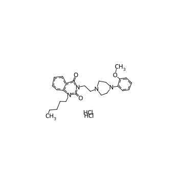 CCCCCn1c(=O)n(CCN2CCN(c3ccccc3OC)CC2)c(=O)c2ccccc21.Cl.Cl